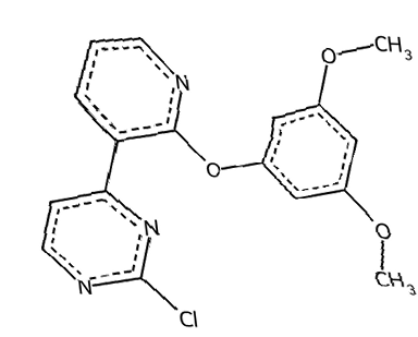 COc1cc(OC)cc(Oc2ncccc2-c2ccnc(Cl)n2)c1